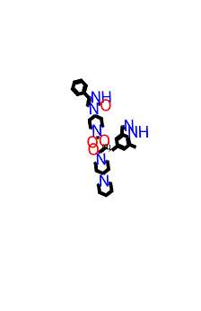 Cc1cc(C[C@@H](OC(=O)N2CCC(n3cc(-c4ccccc4)[nH]c3=O)CC2)C(=O)N2CCC(N3CCCCC3)CC2)cc2cn[nH]c12